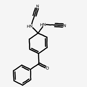 N#CNC1(NC#N)C=CC(C(=O)c2ccccc2)=CC1